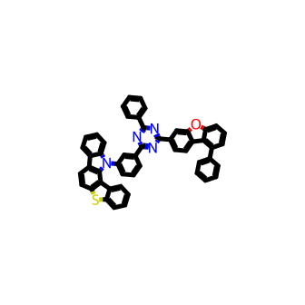 c1ccc(-c2nc(-c3cccc(-n4c5ccccc5c5ccc6sc7ccccc7c6c54)c3)nc(-c3ccc4c(c3)oc3cccc(-c5ccccc5)c34)n2)cc1